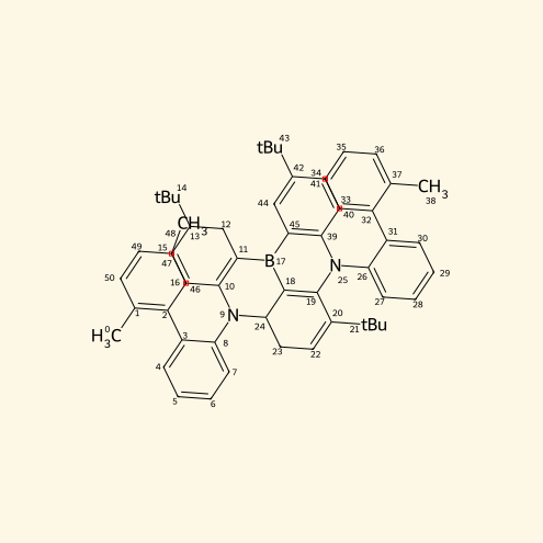 CC1=C(c2ccccc2N2C3=C(CC(C(C)(C)C)C=C3)B3C4=C(C(C(C)(C)C)=CCC42)N(c2ccccc2-c2ccccc2C)c2ccc(C(C)(C)C)cc23)CC(C)C=C1